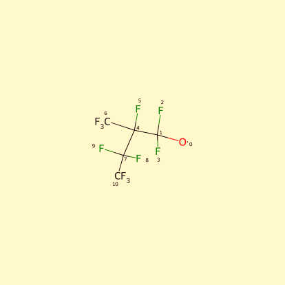 [O]C(F)(F)C(F)(C(F)(F)F)C(F)(F)C(F)(F)F